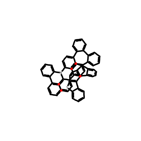 c1ccc(-c2ccccc2N(c2ccc3c(c2)C2(c4ccccc4-c4ccccc4-3)c3ccccc3-c3c2ccc2sc4ccccc4c32)c2ccccc2-c2ccccc2)cc1